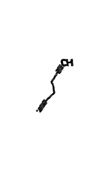 [C]#CCCC#C